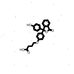 O=C(O)CCCOc1ccc(C2(c3ccc(O)cc3)OC(=O)c3ccccc32)cc1